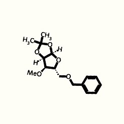 CO[C@H]1[C@H]2OC(C)(C)O[C@H]2O[C@@H]1COCc1ccccc1